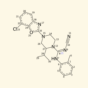 Cc1ccccc1N/C(=N/C#N)N1CCN(c2nc3cccc(Cl)c3o2)CC1C(C)C